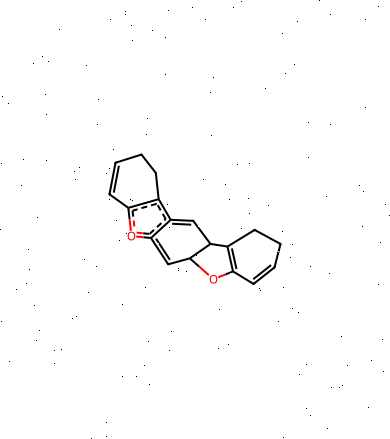 C1=CC2=C(CC1)C1C=c3c4c(oc3=CC1O2)C=CCC4